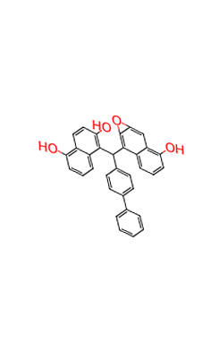 Oc1ccc2c(O)cccc2c1C(c1ccc(-c2ccccc2)cc1)c1c2c(cc3c(O)cccc13)O2